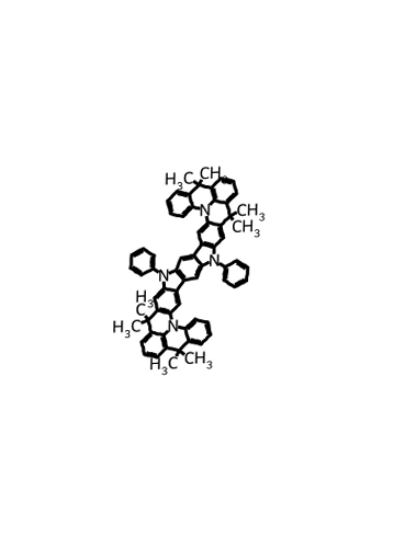 CC1(C)c2ccccc2N2c3cc4c5cc6c(cc5n(-c5ccccc5)c4cc3C(C)(C)c3cccc1c32)c1cc2c(cc1n6-c1ccccc1)C(C)(C)c1cccc3c1N2c1ccccc1C3(C)C